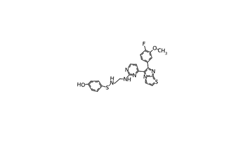 COc1cc(-c2nc3sccn3c2-c2ccnc(NCCNSc3ccc(O)cc3)n2)ccc1F